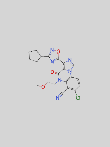 COCCn1c(=O)c2c(-c3nc(C4CCCC4)no3)ncn2c2ccc(Cl)c(C#N)c21